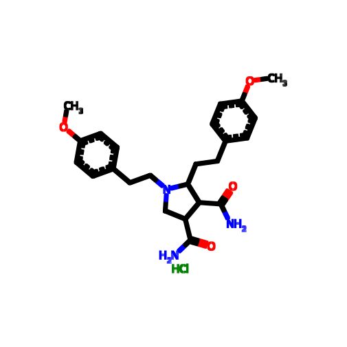 COc1ccc(CCC2C(C(N)=O)C(C(N)=O)CN2CCc2ccc(OC)cc2)cc1.Cl